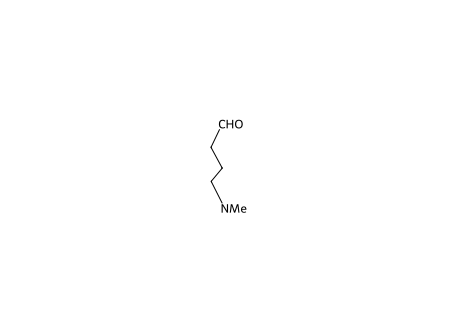 CNCCCC=O